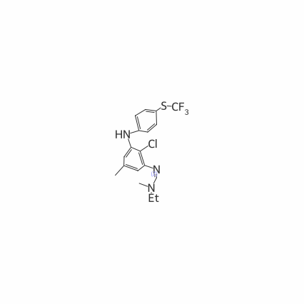 CCN(C)/C=N\c1cc(C)cc(Nc2ccc(SC(F)(F)F)cc2)c1Cl